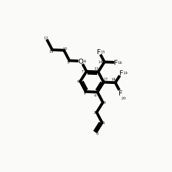 C=CCCc1ccc(OCCCC)c(C(F)F)c1C(F)F